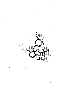 CC1CCC(C)(C)C1(N[C@H](C=O)CC(=O)O)OCC(C)(C)N